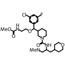 CNCC(CC1CCOCC1)NC(=O)N1CCCC(C(OCCNC(=O)OC)c2cc(F)cc(Cl)c2)C1